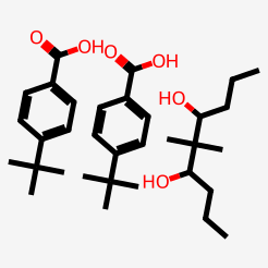 CC(C)(C)c1ccc(C(=O)O)cc1.CC(C)(C)c1ccc(C(=O)O)cc1.CCCC(O)C(C)(C)C(O)CCC